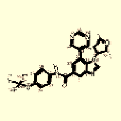 C[C@H]1OCCC1n1cnc2cc(C(=O)Nc3ccc(OC(F)(F)Cl)cc3)cc(-c3cncnc3)c21